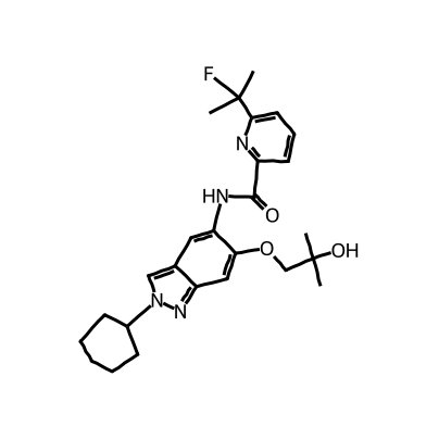 CC(C)(O)COc1cc2nn(C3CCCCC3)cc2cc1NC(=O)c1cccc(C(C)(C)F)n1